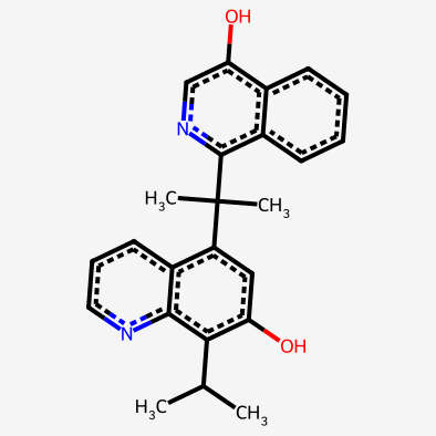 CC(C)c1c(O)cc(C(C)(C)c2ncc(O)c3ccccc23)c2cccnc12